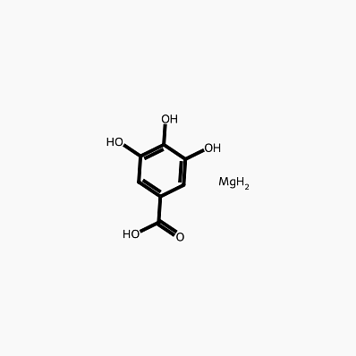 O=C(O)c1cc(O)c(O)c(O)c1.[MgH2]